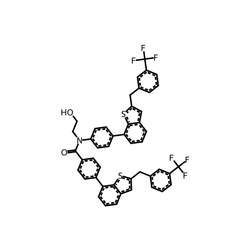 O=C(c1ccc(-c2cccc3cc(Cc4cccc(C(F)(F)F)c4)sc23)cc1)N(CCO)c1ccc(-c2cccc3cc(Cc4cccc(C(F)(F)F)c4)sc23)cc1